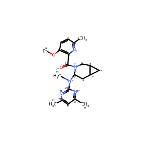 CCOc1ccc(C)nc1C(=O)N1CC2CC2CC1N(C)c1nc(C)cc(C)n1